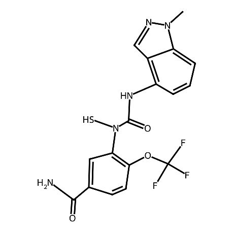 Cn1ncc2c(NC(=O)N(S)c3cc(C(N)=O)ccc3OC(F)(F)F)cccc21